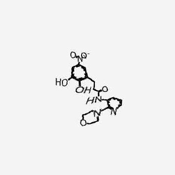 O=C(CCc1cc([N+](=O)[O-])cc(O)c1O)Nc1cccnc1N1CCOCC1